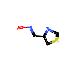 ON=Cc1cscn1